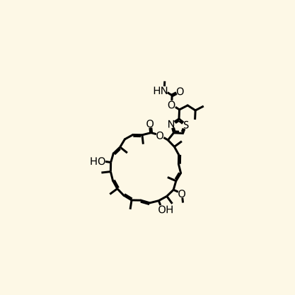 CNC(=O)OC(CC(C)C)c1nc(C2OC(=O)/C(C)=C/C/C(C)=C/C(O)C(C)\C=C(C)/C=C(C)\C=C\C(O)C(C)C(OC)/C(C)=C/C=C/C2C)cs1